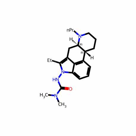 CCCN1CCC[C@@H]2c3cccc4c3c(c(CC)n4NC(=O)N(C)C)C[C@H]21